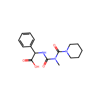 CN(C(=O)NC(C(=O)O)c1ccccc1)C(=O)N1CCCCC1